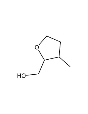 CC1CCOC1CO